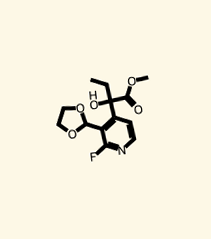 CCC(O)(C(=O)OC)c1ccnc(F)c1C1OCCO1